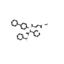 CCOC(=O)/C=C/C(=O)N(c1ccc(-c2ccccc2)cc1)C(C(=O)N[C@@H](C)c1ccccc1)c1cccnc1